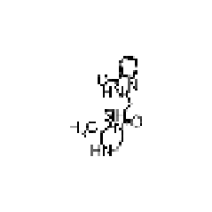 C[C@H]1CNCCN(C(=O)CCc2nc3ccccc3c(=O)[nH]2)C1[SiH3]